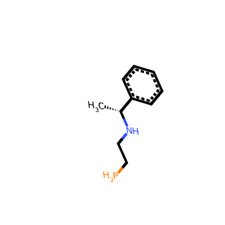 C[C@@H](NCCP)c1ccccc1